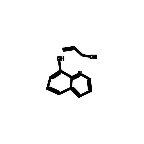 C=CCO.Oc1cccc2cccnc12